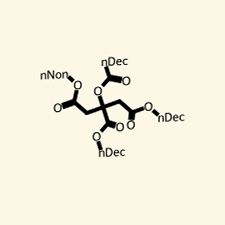 CCCCCCCCCCOC(=O)CC(CC(=O)OCCCCCCCCC)(OC(=O)CCCCCCCCCC)C(=O)OCCCCCCCCCC